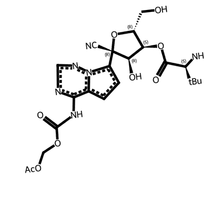 CC(=O)OCOC(=O)Nc1ncnn2c([C@]3(C#N)O[C@H](CO)[C@@H](OC(=O)[C@@H](N)C(C)(C)C)[C@H]3O)ccc12